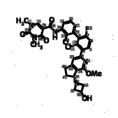 COc1nc(-c2ccc(F)c(-c3cccc(NC(=O)c4cn(C)c(=O)n(C)c4=O)c3Cl)c2Cl)cc2c1[C@@H](N1CC(O)C1)CC2